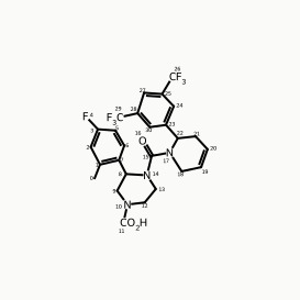 Cc1cc(F)ccc1C1CN(C(=O)O)CCN1C(=O)N1CC=CCC1c1cc(C(F)(F)F)cc(C(F)(F)F)c1